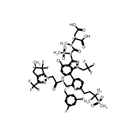 C[C@@H]1Cc2c(C(F)(F)F)nn(CC(=O)N[C@@H](Cc3cc(F)cc(F)c3)c3nc(CCC(C)(C)S(C)(=O)=O)ccc3-c3ccc(Cl)c4c(N(C(=O)N(C)[C@@H](CC(=O)O)C(=O)O)S(C)(=O)=O)nn(CC(F)(F)F)c34)c2C1(F)F